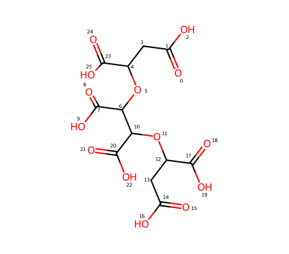 O=C(O)CC(OC(C(=O)O)C(OC(CC(=O)O)C(=O)O)C(=O)O)C(=O)O